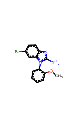 COc1ccccc1-n1c(N)nc2ccc(Br)cc21